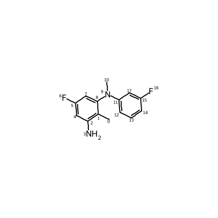 Cc1c(N)cc(F)cc1N(C)c1cccc(F)c1